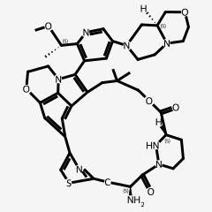 CO[C@@H](C)c1ncc(N2CCN3CCOC[C@@H]3C2)cc1-c1c2c3cc(cc4c3n1CCO4)-c1csc(n1)C[C@H](N)C(=O)N1CCC[C@H](N1)C(=O)OCC(C)(C)C2